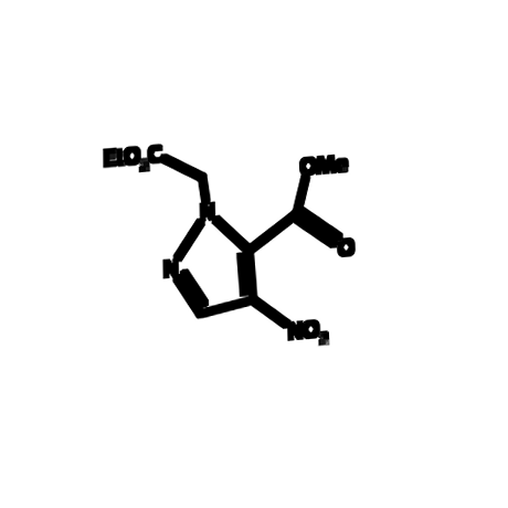 CCOC(=O)Cn1ncc([N+](=O)[O-])c1C(=O)OC